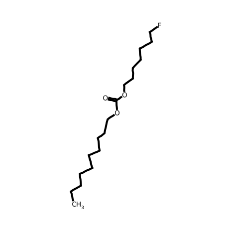 CCCCCCCCCCOC(=O)OCCCCCCCF